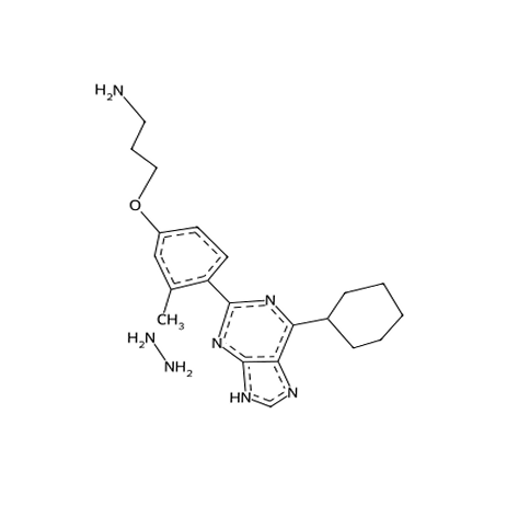 Cc1cc(OCCCN)ccc1-c1nc(C2CCCCC2)c2nc[nH]c2n1.NN